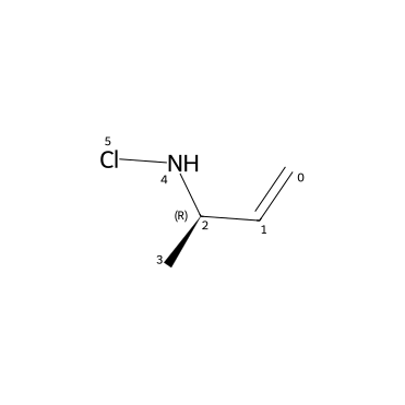 C=C[C@@H](C)NCl